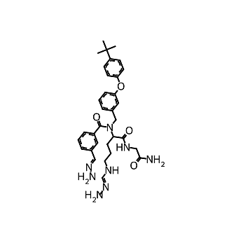 CC(C)(C)c1ccc(Oc2cccc(CN(C(=O)c3cccc(C=NN)c3)C(CCCNC=NN)C(=O)NCC(N)=O)c2)cc1